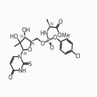 COC(=O)[C@H](C)NP(=O)(OC[C@H]1O[C@@H](n2ccc(=O)[nH]c2=S)C(C)(O)[C@H]1O)Oc1ccc(Cl)cc1